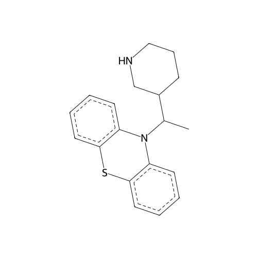 CC(C1CCCNC1)N1c2ccccc2Sc2ccccc21